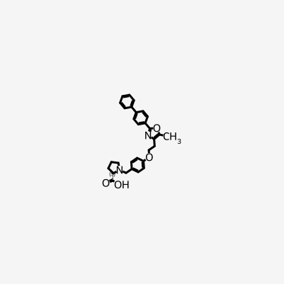 Cc1oc(-c2ccc(-c3ccccc3)cc2)nc1CCOc1ccc(CN2CCC[C@H]2C(=O)O)cc1